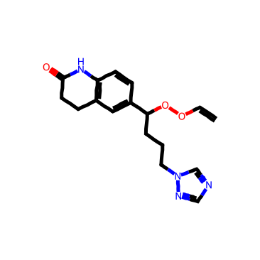 C=COOC(CCCn1cncn1)c1ccc2c(c1)CCC(=O)N2